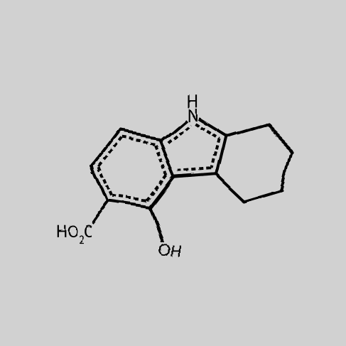 O=C(O)c1ccc2[nH]c3c(c2c1O)CCCC3